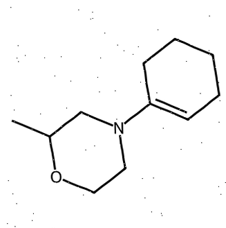 CC1CN(C2=CCCCC2)CCO1